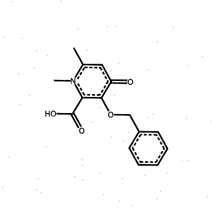 Cc1cc(=O)c(OCc2ccccc2)c(C(=O)O)n1C